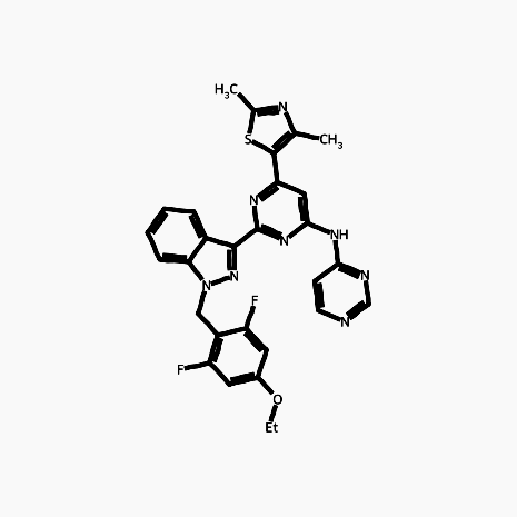 CCOc1cc(F)c(Cn2nc(-c3nc(Nc4ccncn4)cc(-c4sc(C)nc4C)n3)c3ccccc32)c(F)c1